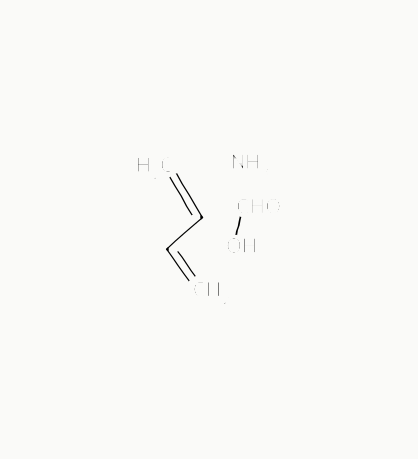 C=CC=C.N.O=CO